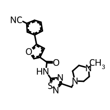 CN1CCN(Cc2nsc(NC(=O)c3coc(-c4cccc(C#N)c4)c3)n2)CC1